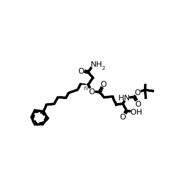 CC(C)(C)OC(=O)NC(CCCC(=O)O[C@@H](CCCCCCCc1ccccc1)CC(N)=O)C(=O)O